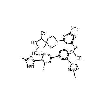 CCC1NC(C(=O)O)CC12CCN(c1cc(O[C@H](c3ccc(-c4ccc(-c5nnc(C)o5)c(F)c4)cc3-n3ccc(C)n3)C(F)(F)F)nc(N)n1)CC2